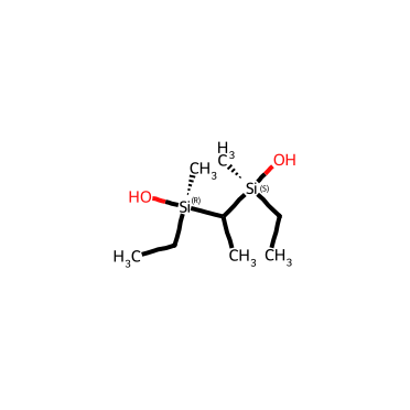 CC[Si@](C)(O)C(C)[Si@](C)(O)CC